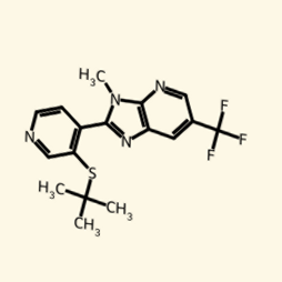 Cn1c(-c2ccncc2SC(C)(C)C)nc2cc(C(F)(F)F)cnc21